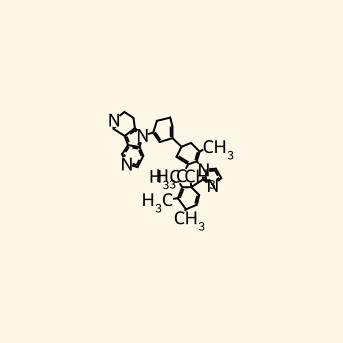 CC1=CC(C2=CCCC(n3c4c(c5cnccc53)C=NCC4)=C2)CC(C)=C1n1ccnc1C1(C)C=CC(C)C(C)=C1C